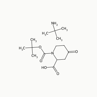 CC(C)(C)N.CC(C)(C)OC(=O)N1CCC(=O)CC1C(=O)O